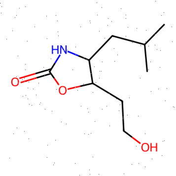 CC(C)CC1NC(=O)OC1CCO